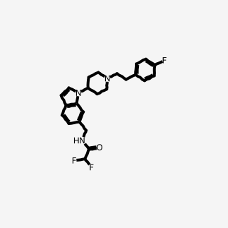 O=C(NCc1ccc2ccn(C3CCN(CCc4ccc(F)cc4)CC3)c2c1)C(F)F